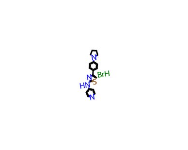 Br.c1cc(Nc2nc(-c3ccc(N4CCCC4)cc3)cs2)ccn1